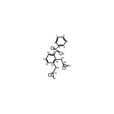 O=S(=O)(c1ccccc1)c1cccc(CC2CO2)c1CC1CO1